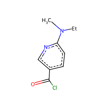 CCN(C)c1ccc(C(=O)Cl)cn1